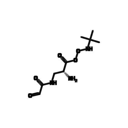 CC(C)(C)NOOC(=O)[C@H](N)CNC(=O)C=O